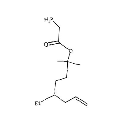 C=CCC(CC)CCC(C)(C)OC(=O)CP